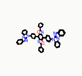 c1ccc(-c2nc3c(-c4ccc(-n5c6ccccc6n6c7ccccc7nc56)cc4)c4oc(-c5ccccc5)nc4c(-c4ccc(-n5c6ccccc6n6c7ccccc7nc56)cc4)c3o2)cc1